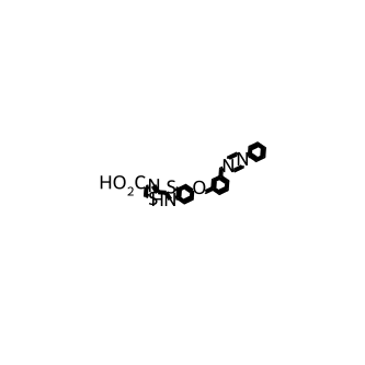 O=C(O)C1CSC(C2Nc3ccc(OCc4cccc(CN5CCN(c6ccccc6)CC5)c4)cc3S2)=N1